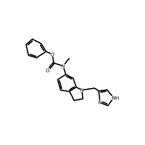 CN(C(=O)Oc1ccccc1)c1ccc2c(c1)N(Cc1c[nH]cn1)CC2